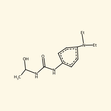 CCN(CC)c1ccc(NC(=O)NC(C)O)cc1